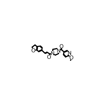 COc1ccc(C(=O)N2CCN(C(=O)/C=C/c3ccc4c(c3)OCC4)CC2)cn1